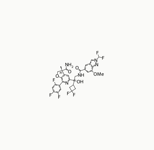 COc1cc(C(=O)NC[C@](O)(c2cc3c(c(-c4cc(F)c(F)cc4F)n2)OC[C@]3(C)C(N)=O)C2CC(F)(F)C2)cc2cn(C(F)F)nc12